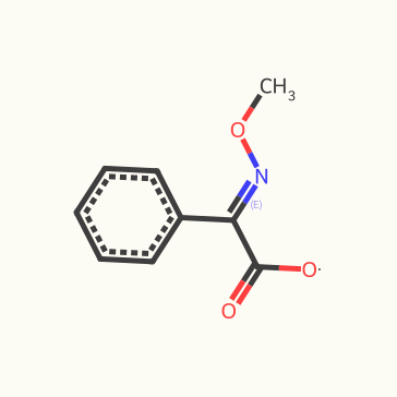 CO/N=C(/C([O])=O)c1ccccc1